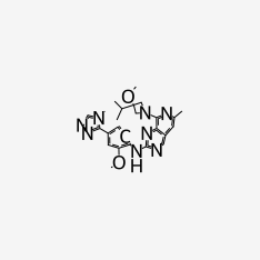 COc1cc(-c2nncn2C)ccc1Nc1ncc2cc(C)nc(N3CC(OC)(C(C)C)C3)c2n1